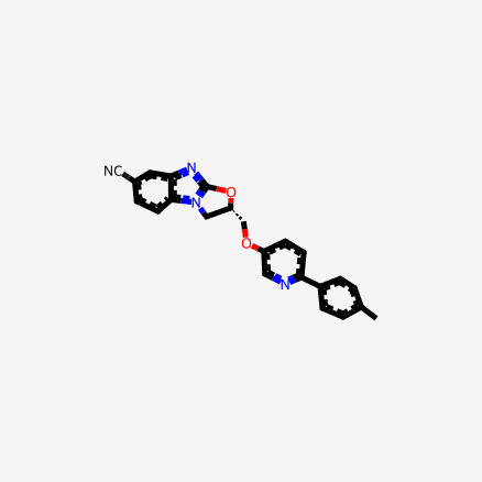 Cc1ccc(-c2ccc(OC[C@@H]3Cn4c(nc5cc(C#N)ccc54)O3)cn2)cc1